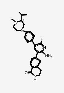 CC(C)[C@H]1CN(c2ccc(-c3cc(-c4ccc5c(c4)CCNC5=O)c(N)nc3F)cc2)CCN1C